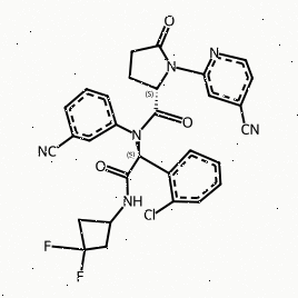 N#Cc1cccc(N(C(=O)[C@@H]2CCC(=O)N2c2cc(C#N)ccn2)[C@H](C(=O)NC2CC(F)(F)C2)c2ccccc2Cl)c1